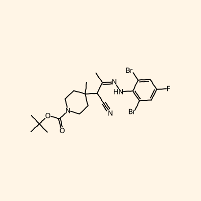 CC(=NNc1c(Br)cc(F)cc1Br)C(C#N)C1(C)CCN(C(=O)OC(C)(C)C)CC1